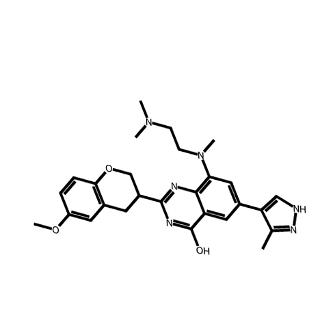 COc1ccc2c(c1)CC(c1nc(O)c3cc(-c4c[nH]nc4C)cc(N(C)CCN(C)C)c3n1)CO2